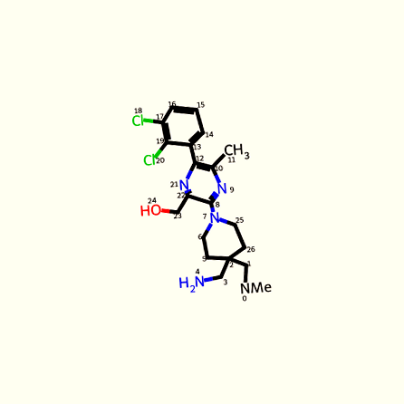 CNCC1(CN)CCN(c2nc(C)c(-c3cccc(Cl)c3Cl)nc2CO)CC1